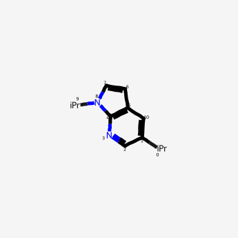 CC(C)c1cnc2c(ccn2C(C)C)c1